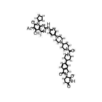 CC(=O)c1c(C)c2cnc(Nc3ccc(N4CCN(C5CCN(C(=O)N6CCC(c7ccc8c(c7)CN(C7CCC(=O)NC7=O)C8=O)CC6)CC5)CC4)cn3)nc2n(C2CCCC2)c1=O